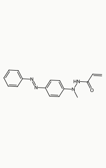 C=CC(=O)NN(C)c1ccc(N=Nc2ccccc2)cc1